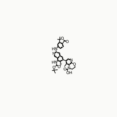 Cc1c(-c2cc3cc(Nc4ccc5c(c4)C(C)(C)OC5=O)ncc3c(NC(=O)OC(C)(C)C)c2F)cnc2c1N(C(=O)O)CCO2